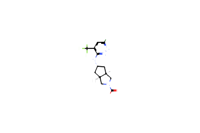 O=C(O)N1C[C@H]2C[C@H](Nc3nnc(Cl)cc3C(F)(F)F)C[C@H]2C1